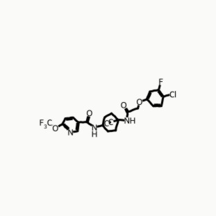 O=C(COc1ccc(Cl)c(F)c1)NC12CCC(NC(=O)c3ccc(OC(F)(F)F)nc3)(CC1)CC2